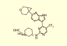 FC(F)(F)c1cnc(N[C@H]2CCCNC2)nc1-c1c[nH]c2nc(C34CCOCC3C4)ccc12.O=CO